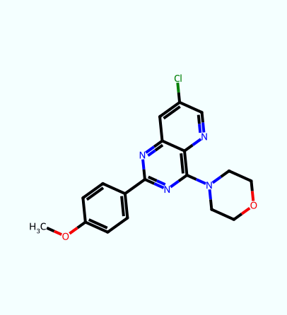 COc1ccc(-c2nc(N3CCOCC3)c3ncc(Cl)cc3n2)cc1